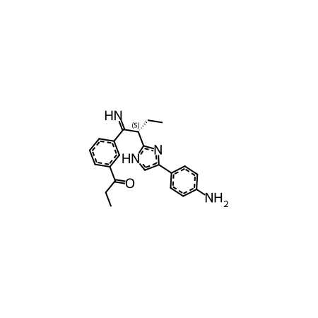 CCC(=O)c1cccc(C(=N)[C@H](CC)c2nc(-c3ccc(N)cc3)c[nH]2)c1